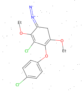 CCOC1=C(Oc2ccc(Cl)cc2)C(Cl)=C(OCC)C(=[N+]=[N-])C1